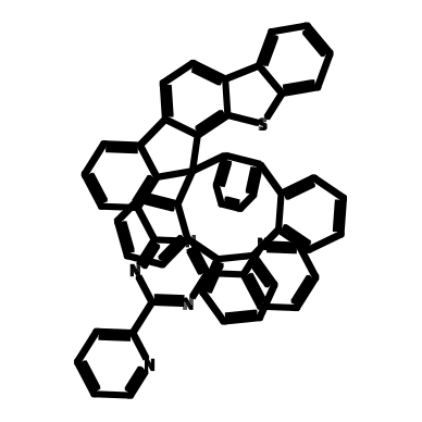 c1ccc(-c2nc(-c3ccccn3)nc(-c3cccc4c3C3(c5ccccc5-c5ccccc5-c5ccccc5-c5ccccc53)c3c-4ccc4c3sc3ccccc34)n2)nc1